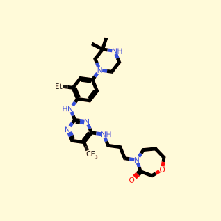 CCc1cc(N2CCNC(C)(C)C2)ccc1Nc1ncc(C(F)(F)F)c(NCCCN2CCCOCC2=O)n1